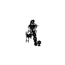 CC(C)c1ccccc1[C@@H]1CCCN1C1CC2(CCN(c3ccc(C(=O)NS(=O)(=O)c4cc5c(c([N+](=O)[O-])c4)N[C@@H](CC4CCC(C)(C)CC4)CO5)c(Oc4cnc5[nH]cc(F)c5c4)c3)CC2)C1